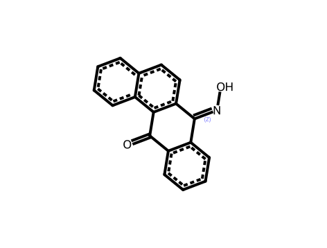 O=C1c2ccccc2/C(=N/O)c2ccc3ccccc3c21